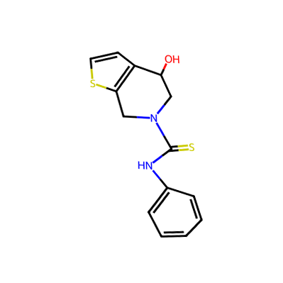 OC1CN(C(=S)Nc2ccccc2)Cc2sccc21